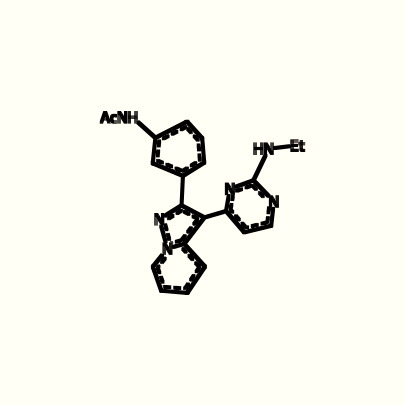 CCNc1nccc(-c2c(-c3cccc(NC(C)=O)c3)nn3ccccc23)n1